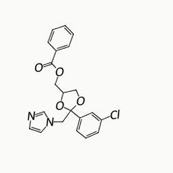 O=C(OCC1COC(Cn2ccnc2)(c2cccc(Cl)c2)O1)c1ccccc1